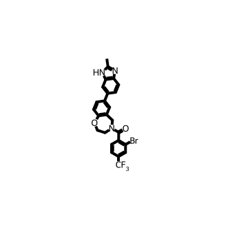 Cc1nc2ccc(-c3ccc4c(c3)CN(C(=O)c3ccc(C(F)(F)F)cc3Br)CCO4)cc2[nH]1